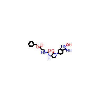 N=C(NO)c1ccc(N2CC[C@H](NC(=O)NCCC(=O)OCc3ccccc3)C2=O)cc1